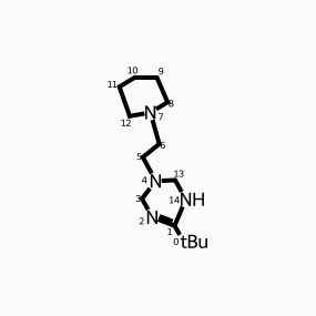 CC(C)(C)C1=NCN(CCN2CCCCC2)CN1